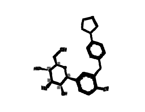 N#Cc1ccc([C@@H]2O[C@H](CO)[C@@H](O)[C@H](O)[C@H]2O)cc1Cc1ccc(C2CCCC2)cc1